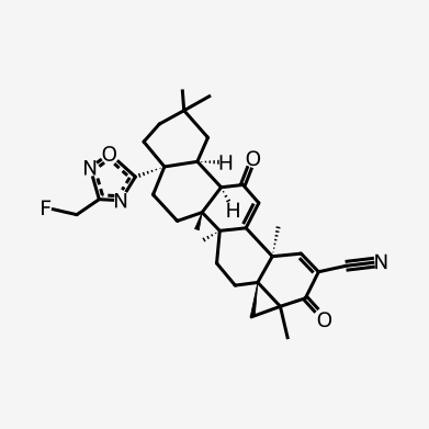 CC1(C)CC[C@]2(c3nc(CF)no3)CC[C@]3(C)[C@H](C(=O)C=C4[C@@]5(C)C=C(C#N)C(=O)C6(C)C[C@]65CC[C@]43C)[C@@H]2C1